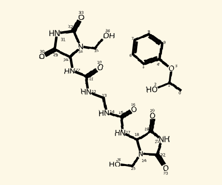 CC(O)Oc1ccccc1.O=C(NCNC(=O)NC1C(=O)NC(=O)N1CO)NC1C(=O)NC(=O)N1CO